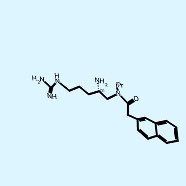 CC(C)N(C[C@@H](N)CCCNC(=N)N)C(=O)Cc1ccc2ccccc2c1